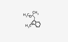 COC(C)Cc1cn(C)c2ccccc12